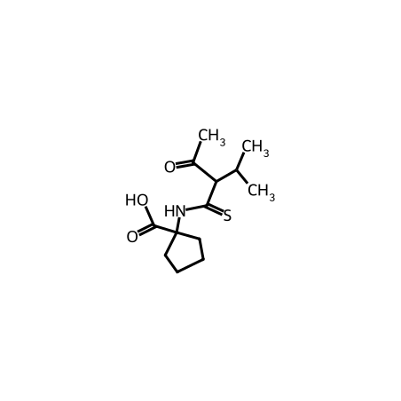 CC(=O)C(C(=S)NC1(C(=O)O)CCCC1)C(C)C